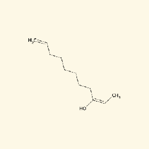 C=CCCCCCC/C(O)=C\C